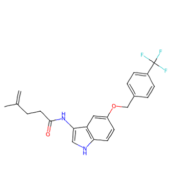 C=C(C)CCC(=O)Nc1c[nH]c2ccc(OCc3ccc(C(F)(F)F)cc3)cc12